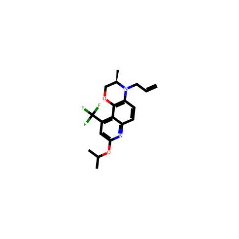 C=CCN1c2ccc3nc(OC(C)C)cc(C(F)(F)F)c3c2OC[C@H]1C